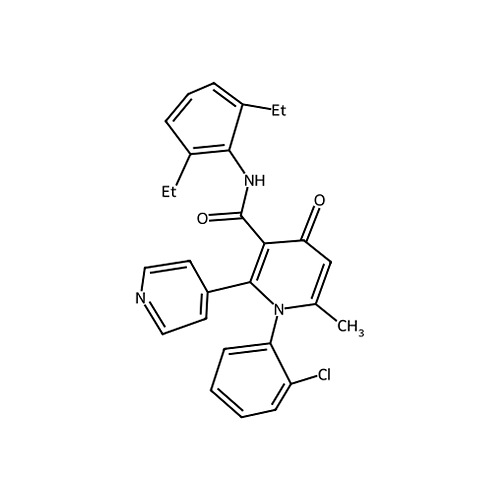 CCc1cccc(CC)c1NC(=O)c1c(-c2ccncc2)n(-c2ccccc2Cl)c(C)cc1=O